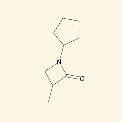 CC1CN(C2CCCC2)C1=O